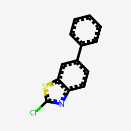 Clc1nc2ccc(-c3ccccc3)cc2s1